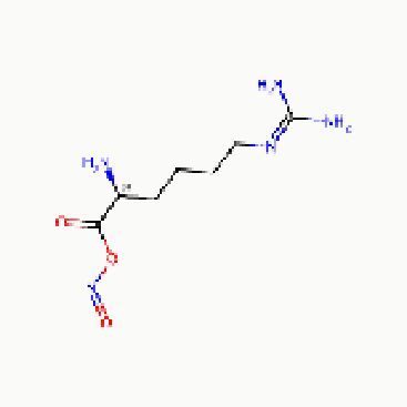 NC(N)=NCCCC[C@H](N)C(=O)ON=O